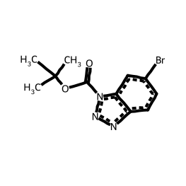 CC(C)(C)OC(=O)n1nnc2ccc(Br)cc21